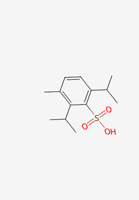 Cc1ccc(C(C)C)c(S(=O)(=O)O)c1C(C)C